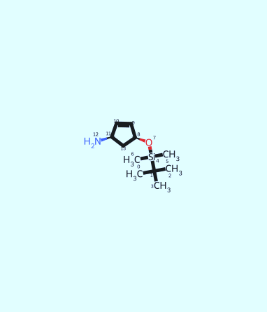 CC(C)(C)[Si](C)(C)O[C@@H]1C=C[C@H](N)C1